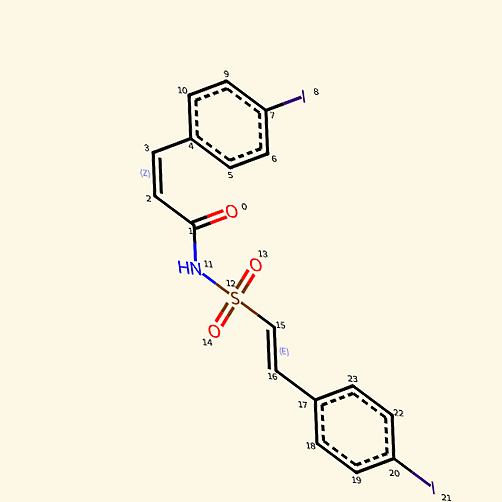 O=C(/C=C\c1ccc(I)cc1)NS(=O)(=O)/C=C/c1ccc(I)cc1